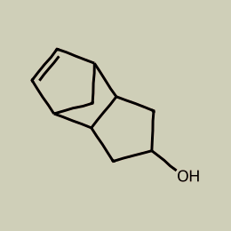 OC1CC2C3C=CC(C3)C2C1